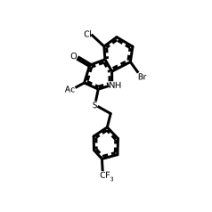 CC(=O)c1c(SCc2ccc(C(F)(F)F)cc2)[nH]c2c(Br)ccc(Cl)c2c1=O